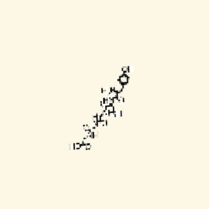 N[C@@H](Cc1ccc(O)cc1)C(=O)N[C@@H](CS)C(=O)NCC(=O)NCC(=O)NCC(=O)O